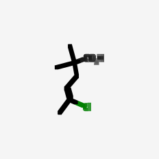 CC(Cl)=CCC(C)(C)C(=O)O